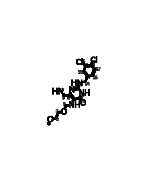 COCCOCNc1c(C=N)nc(NCc2ccc(Cl)c(Cl)c2)[nH]c1=O